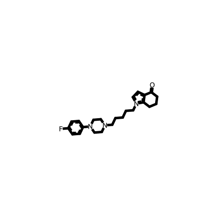 O=C1CCCc2c1ccn2CCCCCN1CCN(c2ccc(F)cc2)CC1